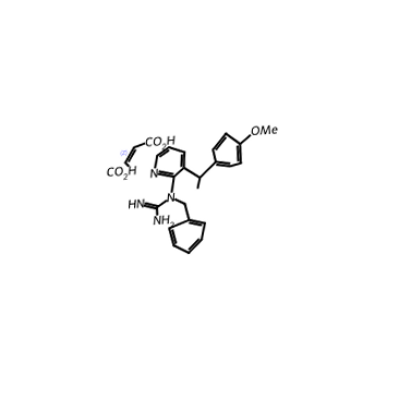 COc1ccc(C(C)c2cccnc2N(Cc2ccccc2)C(=N)N)cc1.O=C(O)/C=C\C(=O)O